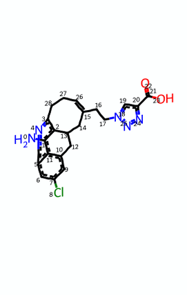 Nc1c2c3nc4cc(Cl)cc(c14)CC2CC(CCn1cc(C(=O)O)nn1)=CCC3